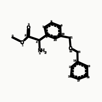 COC(=O)C(N)c1cccc(COCc2ccccc2)c1